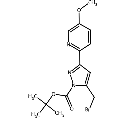 COc1ccc(-c2cc(CBr)n(C(=O)OC(C)(C)C)n2)nc1